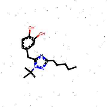 CCCCCc1nc(Cc2ccc(O)c(O)c2)n(C(C)(C)C)n1